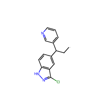 [CH2]CC(c1cccnc1)c1ccc2[nH]nc(Cl)c2c1